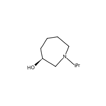 CC(C)N1CCCC[C@H](O)C1